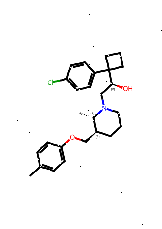 Cc1ccc(OC[C@@H]2CCCN(C[C@H](O)C3(c4ccc(Cl)cc4)CCC3)[C@H]2C)cc1